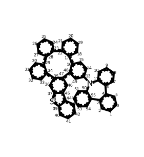 c1ccc2c(c1)-c1ccccc1N(c1ccc3c4ccccc4c4ccccc4c4ccccc4c4cc5sc6ccccc6c5cc4c3c1)c1ccccc1-2